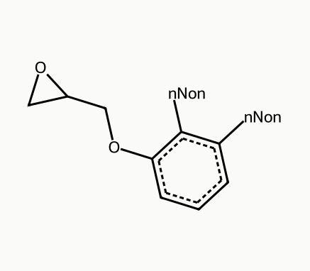 CCCCCCCCCc1cccc(OCC2CO2)c1CCCCCCCCC